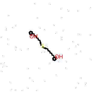 Oc1ccccc1CCCCCCCC#CCSCC#CCCCCCCCc1ccccc1O